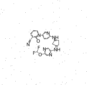 N#Cc1cccn(-c2ccc(N[C@H]3CC[C@H](Nc4cnc(OC(F)F)cn4)C3)nc2)c1=O